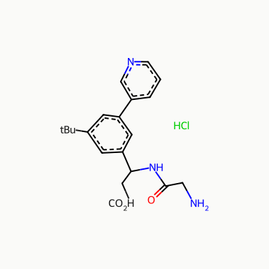 CC(C)(C)c1cc(-c2cccnc2)cc(C(CC(=O)O)NC(=O)CN)c1.Cl